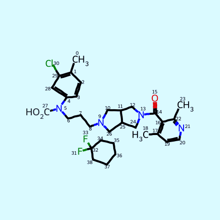 Cc1ccc(N(CCCN2CC3CN(C(=O)c4c(C)ccnc4C)CC3C2)C(=O)O)cc1Cl.FC1(F)CCCCC1